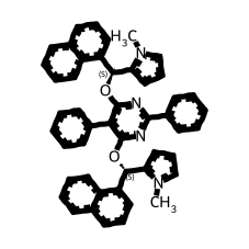 Cn1cccc1[C@@H](Oc1nc(-c2ccccc2)nc(O[C@@H](c2cccc3ccccc23)c2cccn2C)c1-c1ccccc1)c1cccc2ccccc12